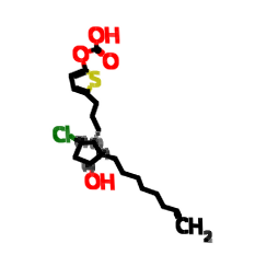 C=CCCCCCC[C@@H]1[C@@H](CCCc2ccc(OC(=O)O)s2)[C@H](Cl)C[C@H]1O